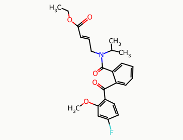 CCOC(=O)/C=C/CN(C(=O)c1ccccc1C(=O)c1ccc(F)cc1OC)C(C)C